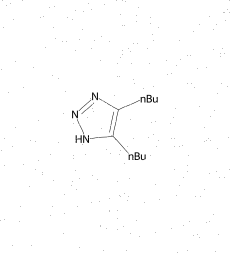 CCCCc1nn[nH]c1CCCC